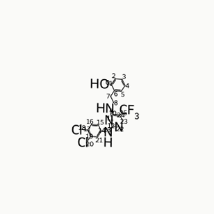 Oc1ccccc1CCNc1nc(Nc2ccc(Cl)c(Cl)c2)ncc1C(F)(F)F